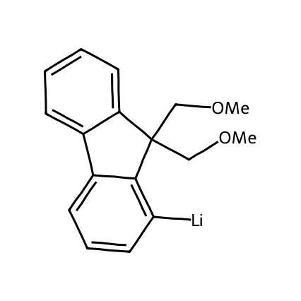 [Li][c]1cccc2c1C(COC)(COC)c1ccccc1-2